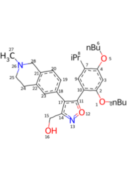 CCCCOc1cc(OCCCC)c(C(C)C)cc1-c1onc(CO)c1-c1ccc2c(c1)CCN(C)C2